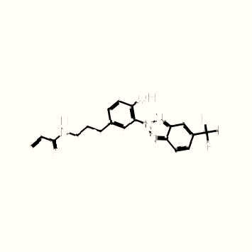 C=CC(=O)NCCCc1ccc(O)c(-n2nc3ccc(C(F)(F)F)cc3n2)c1